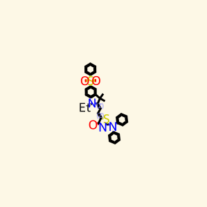 CCN1/C(=C\C=C2/SC(N(c3ccccc3)c3ccccc3)=NC2=O)C(C)(C)c2cc(S(=O)(=O)c3ccccc3)ccc21